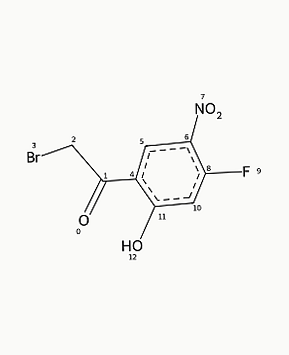 O=C(CBr)c1cc([N+](=O)[O-])c(F)cc1O